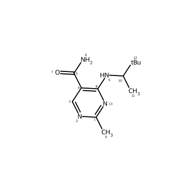 Cc1ncc(C(N)=O)c(NC(C)C(C)(C)C)n1